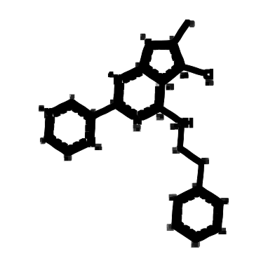 Cc1sc2nc(-c3cnccn3)nc(NCCc3ccccc3)c2c1Cl